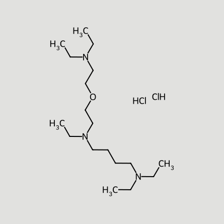 CCN(CC)CCCCN(CC)CCOCCN(CC)CC.Cl.Cl